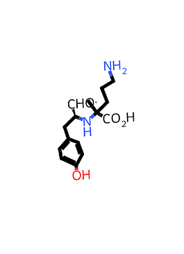 CC(CCCN)(N[C@H]([C]=O)Cc1ccc(O)cc1)C(=O)O